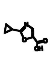 O=C(O)c1cnc(C2CC2)o1